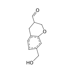 O=CC1COc2cc(CO)ccc2C1